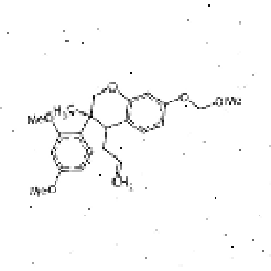 C=CCC1c2ccc(OCOC)cc2OCC1(C)c1ccc(OC)cc1OC